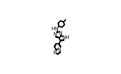 CC1CCC(Nc2ncc3c(-c4ccc5nccn5c4)c[nH]c3n2)CC1